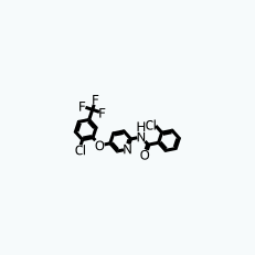 O=C(Nc1ccc(Oc2cc(C(F)(F)F)ccc2Cl)cn1)c1ccccc1Cl